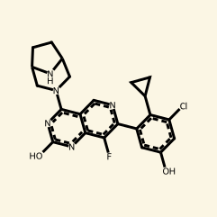 Oc1cc(Cl)c(C2CC2)c(-c2ncc3c(N4CC5CCC(C4)N5)nc(O)nc3c2F)c1